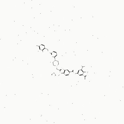 Cc1n[nH]c2c(C(F)F)cc(NC(=O)c3ccc4c(c3)nc(CN3CCC(c5cccc(OCc6ccc(Cl)cc6F)n5)CC3)n4C[C@@H]3CCO3)cc12